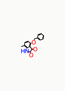 Cc1ccc(OCc2ccccc2)c2c1NC(=O)C2=O